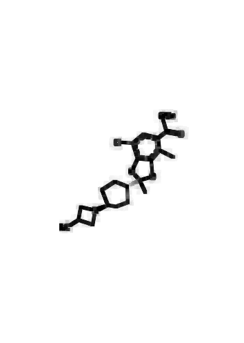 COC(=O)c1cc(Cl)c2c(c1C)OC(C)([C@H]1CC[C@H](N3CC(C#N)C3)CC1)O2